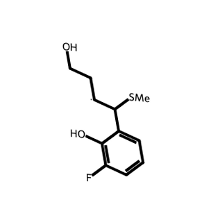 CSC([CH]CCO)c1cccc(F)c1O